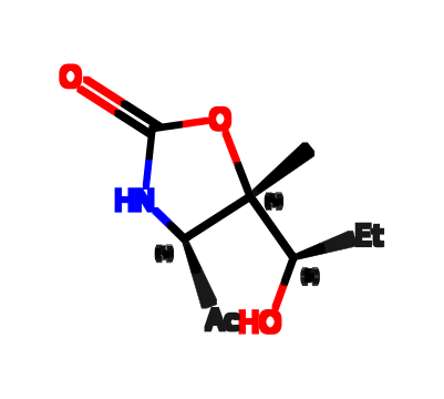 CC[C@@H](O)[C@@]1(C)OC(=O)N[C@@H]1C(C)=O